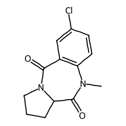 CN1C(=O)C2CCCN2C(=O)c2cc(Cl)ccc21